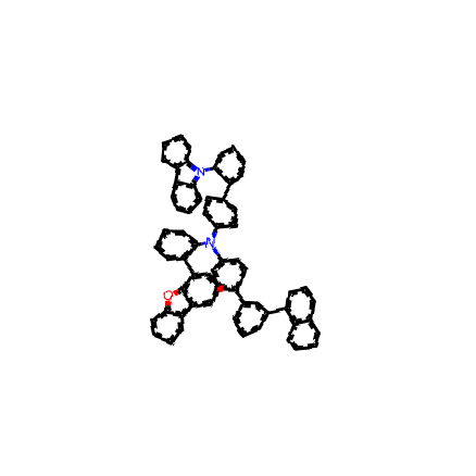 c1cc(-c2ccc(N(c3ccc(-c4ccccc4-n4c5ccccc5c5ccccc54)cc3)c3ccccc3-c3cccc4c3oc3ccccc34)cc2)cc(-c2cccc3ccccc23)c1